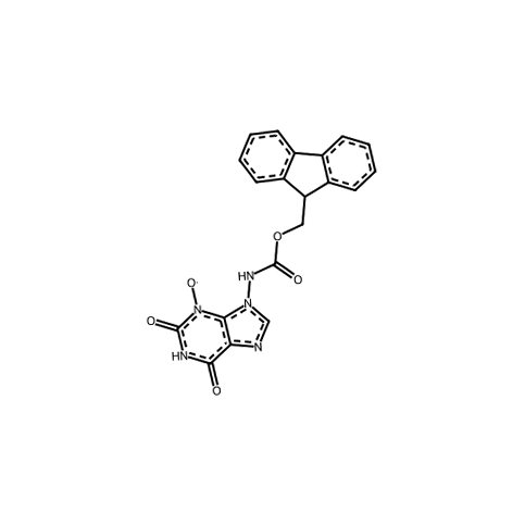 [O]n1c(=O)[nH]c(=O)c2ncn(NC(=O)OCC3c4ccccc4-c4ccccc43)c21